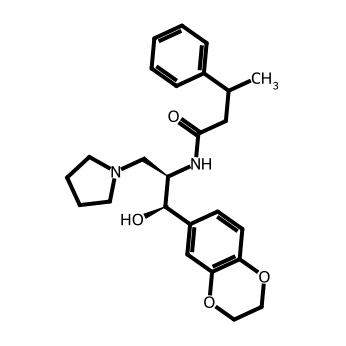 CC(CC(=O)N[C@H](CN1CCCC1)[C@H](O)c1ccc2c(c1)OCCO2)c1ccccc1